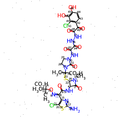 CN1C(=O)C(NC(=O)/C(=N\OC(C)(C)C(=O)O)c2nc(N)sc2Cl)[C@H]1SC(C)(C(=O)O)N1CCN(NC(=O)C(=O)NNC(=O)C(=O)c2ccc(O)c(O)c2Cl)C1=O